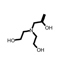 C=C(O)CN(CCO)CCO